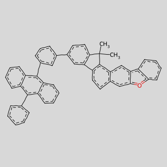 CC1(C)c2ccc(-c3cccc(-c4c5ccccc5c(-c5ccccc5)c5ccccc45)c3)cc2-c2ccc3cc4oc5ccccc5c4cc3c21